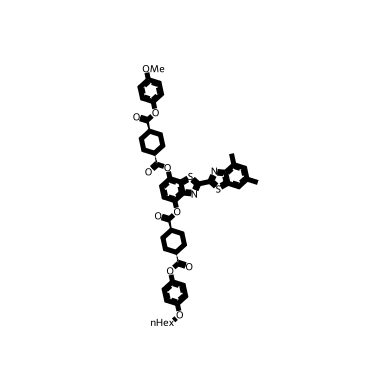 CCCCCCOc1ccc(OC(=O)[C@H]2CC[C@H](C(=O)Oc3ccc(OC(=O)[C@H]4CC[C@H](C(=O)Oc5ccc(OC)cc5)CC4)c4sc(-c5nc6c(C)cc(C)cc6s5)nc34)CC2)cc1